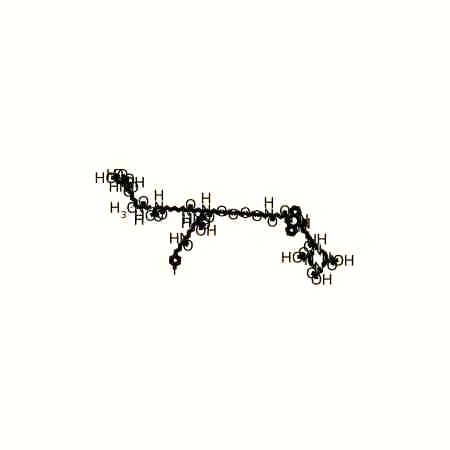 C[C@H](CCCOP(=O)(O)NC(CC(=O)O)C(=O)O)NC(=O)CC[C@H](NC(=O)CCCCCNC(=O)CCC(NC(=O)CCOCCOCCOCCOCCNC(=O)CCC(=O)N1Cc2ccccc2-c2c(nnn2CCCNC(=O)CN2CCN(CC(=O)O)CCN(CC(=O)O)CCN(CC(=O)O)CC2)-c2ccccc21)C(=O)NC(CCCCNC(=O)CCCc1ccc(I)cc1)C(=O)O)C(=O)O